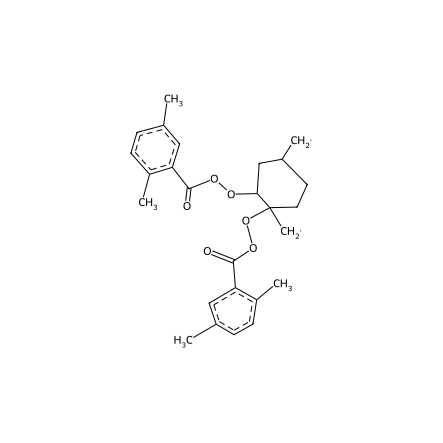 [CH2]C1CCC([CH2])(OOC(=O)c2cc(C)ccc2C)C(OOC(=O)c2cc(C)ccc2C)C1